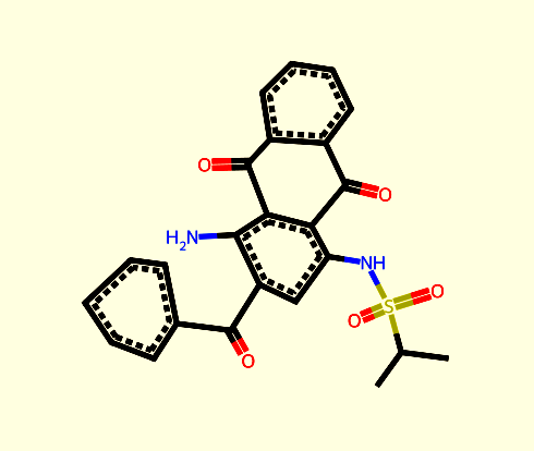 CC(C)S(=O)(=O)Nc1cc(C(=O)c2ccccc2)c(N)c2c1C(=O)c1ccccc1C2=O